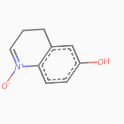 [O-][N+]1=CCCc2cc(O)ccc21